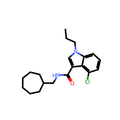 CCCn1cc(C(=O)NCC2CCCCCC2)c2c(Cl)cccc21